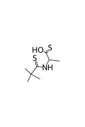 CC(NC(=S)C(C)(C)C)C(O)=S